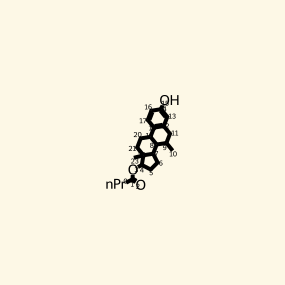 CCCC(=O)OC1CCC2C3C(C)Cc4cc(O)ccc4C3CCC12C